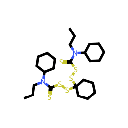 CCCN(C(=S)SSC1(SSC(=S)N(CCC)C2CCCCC2)CCCCC1)C1CCCCC1